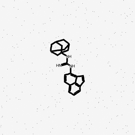 N=C(Nc1ccc2cccc3c2c1C=C3)NC12CC3CC(CC(C3)C1)C2